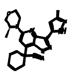 Cc1cc(-c2nsc3c(C4(C#N)CCCCC4)cc(N4CCOC[C@H]4C)nc23)[nH]n1